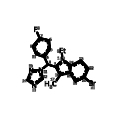 CCn1c(C(c2ccc(F)cc2)n2cncn2)c(C)c2cc(Br)ccc21